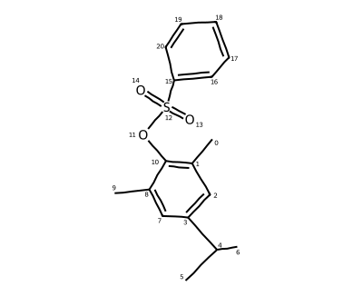 Cc1cc(C(C)C)cc(C)c1OS(=O)(=O)c1ccccc1